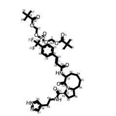 CC(C)(C)C(=O)OCOP(=O)(OCOC(=O)C(C)(C)C)C(F)(F)c1ccc(/C=C/C(=O)NC2CCCCC3CC[C@@H](C(=O)NCCc4cn[nH]c4)N3C2=O)cc1